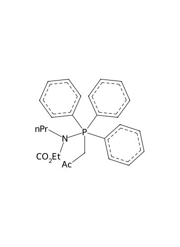 CCCN(C(=O)OCC)P(CC(C)=O)(c1ccccc1)(c1ccccc1)c1ccccc1